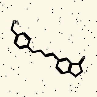 CCc1ccc(CC/C=C/c2ccc3c(c2)C(=O)CC3)cc1